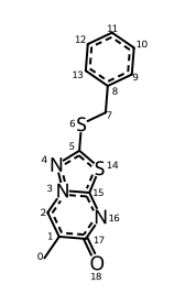 Cc1cn2nc(SCc3ccccc3)sc2nc1=O